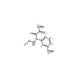 C=C(C(=O)OC)C(NSI)c1cccc(OC)c1